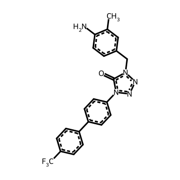 Cc1cc(Cn2nnn(-c3ccc(-c4ccc(C(F)(F)F)cc4)cc3)c2=O)ccc1N